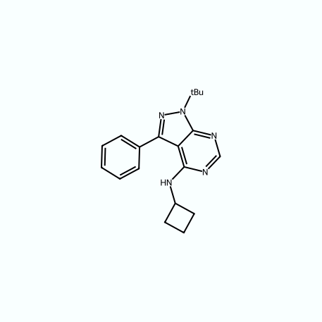 CC(C)(C)n1nc(-c2ccccc2)c2c(NC3CCC3)ncnc21